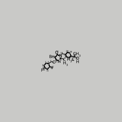 Cc1nc(OCc2ccc(F)cc2F)c(Br)c(=O)n1Cc1ccc(C(C)(C)O)cc1